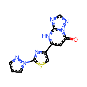 O=c1cc(-c2csc(-n3cccn3)n2)[nH]c2ncnn12